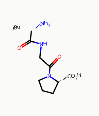 CC[C@H](C)[C@H](N)C(=O)NCC(=O)N1CCC[C@H]1C(=O)O